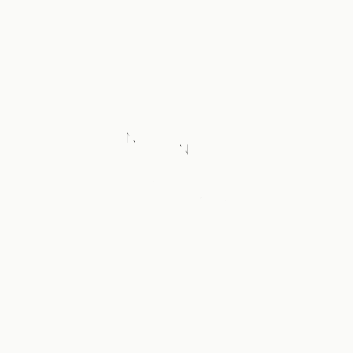 Cc1cncnc1C1(C)CC1